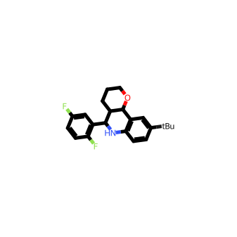 CC(C)(C)c1ccc2c(c1)C1OCCCC1C(c1cc(F)ccc1F)N2